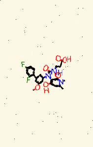 COc1cc(-c2ccc(F)cc2F)cc(N(C(=O)NCCC(=O)O)c2c(O)cc(C)n(C)c2=O)c1